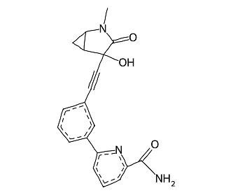 CN1C(=O)C(O)(C#Cc2cccc(-c3cccc(C(N)=O)n3)c2)C2CC21